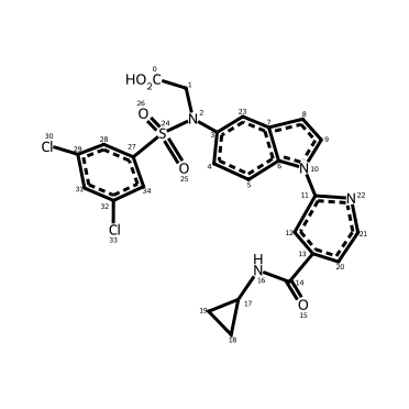 O=C(O)CN(c1ccc2c(ccn2-c2cc(C(=O)NC3CC3)ccn2)c1)S(=O)(=O)c1cc(Cl)cc(Cl)c1